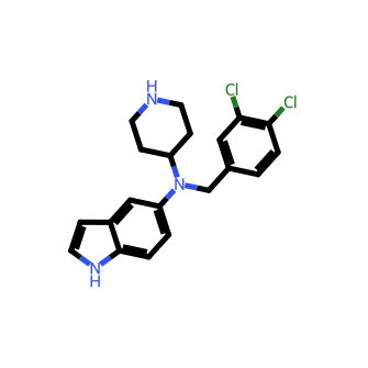 Clc1ccc(CN(c2ccc3[nH]ccc3c2)C2CCNCC2)cc1Cl